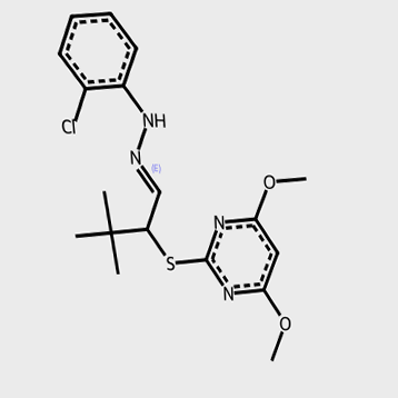 COc1cc(OC)nc(SC(/C=N/Nc2ccccc2Cl)C(C)(C)C)n1